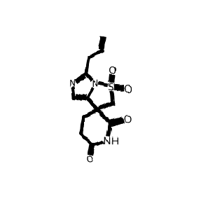 C=CCc1ncc2n1S(=O)(=O)CC21CCC(=O)NC1=O